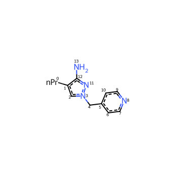 CCCc1cn(Cc2ccncc2)nc1N